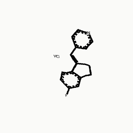 Cl.Fc1ccc2c(c1)CCC2=Cc1ccncc1